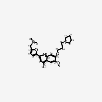 COc1cc2c(Cl)cc(-c3ccc(CN(C)C)o3)nc2cc1OCCCN1CCCC1